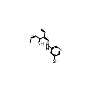 C=C/C(=C/Nc1cncc(S)c1)C(=N)/C=C\C